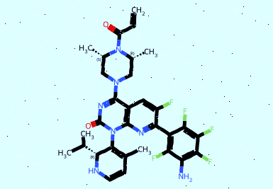 C=CC(=O)N1[C@H](C)CN(c2nc(=O)n(C3=C(C)C=CN[C@@H]3C(C)C)c3nc(-c4c(F)c(N)c(F)c(F)c4F)c(F)cc23)C[C@@H]1C